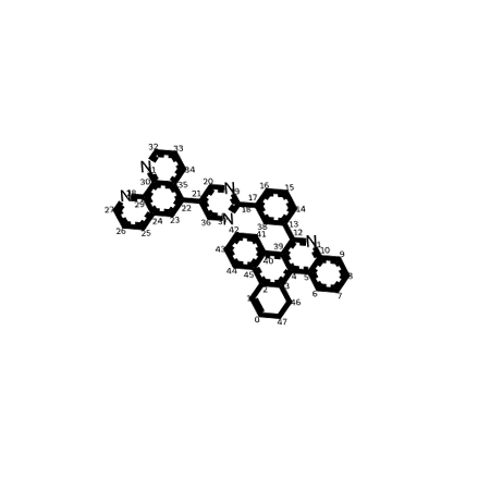 C1=Cc2c(c3c4ccccc4nc(-c4cccc(-c5ncc(-c6cc7cccnc7c7ncccc67)cn5)c4)c3c3ccccc23)CC1